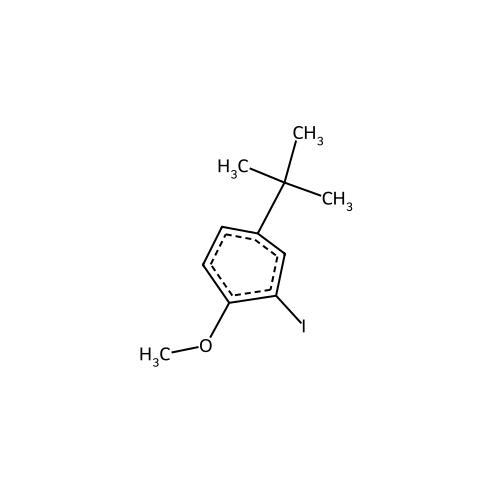 COc1ccc(C(C)(C)C)cc1I